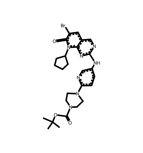 CC(C)(C)OC(=O)N1CCN(c2ccc(Nc3ncc4cc(Br)c(=O)n(C5CCCC5)c4n3)cn2)CC1